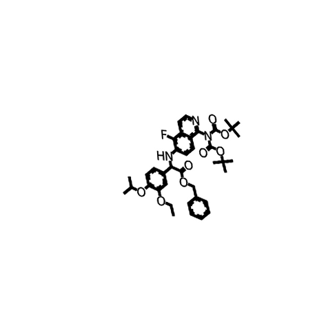 CCOc1cc(C(Nc2ccc3c(N(C(=O)OC(C)(C)C)C(=O)OC(C)(C)C)nccc3c2F)C(=O)OCc2ccccc2)ccc1OC(C)C